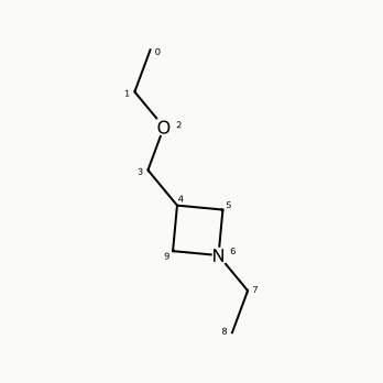 CCOCC1CN(CC)C1